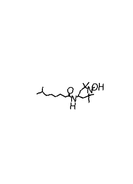 CC(C)CCCCCC(=O)NC1CC(C)(C)N(O)C(C)(C)C1